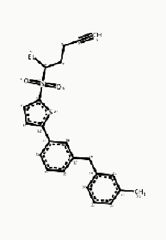 C#CCCC(CC)S(=O)(=O)c1ccc(-c2cccc(Cc3cccc(C)c3)c2)s1